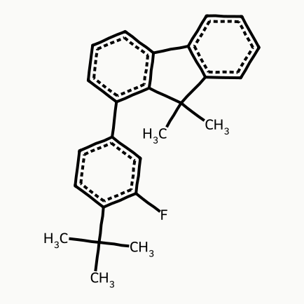 CC(C)(C)c1ccc(-c2cccc3c2C(C)(C)c2ccccc2-3)cc1F